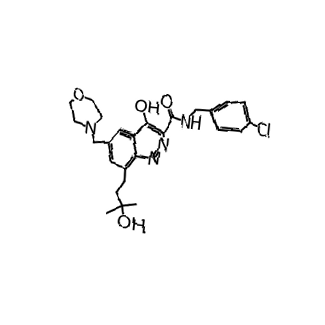 CC(C)(O)CCc1cc(CN2CCOCC2)cc2c(O)c(C(=O)NCc3ccc(Cl)cc3)nnc12